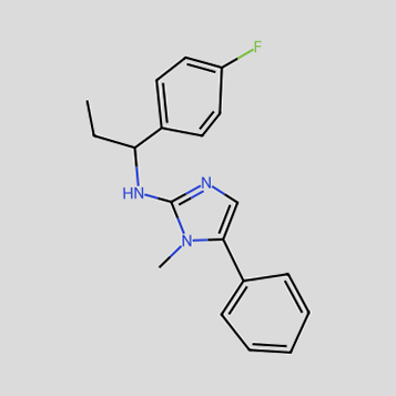 CCC(Nc1ncc(-c2ccccc2)n1C)c1ccc(F)cc1